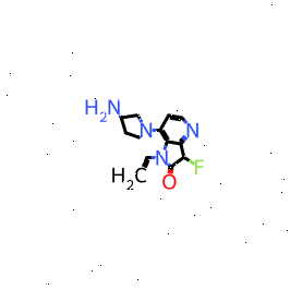 C=CN1C(=O)C(F)c2nccc(N3CCC(N)C3)c21